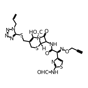 C#CCON=C(C(=O)NC1C(=O)N2C(C(=O)O)=C(CSc3nnnn3CC=C)CS[C@@H]12)c1csc(NC=O)n1